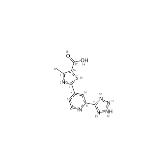 Cc1nc(-c2ccnc(-c3nn[nH]n3)c2)sc1C(=O)O